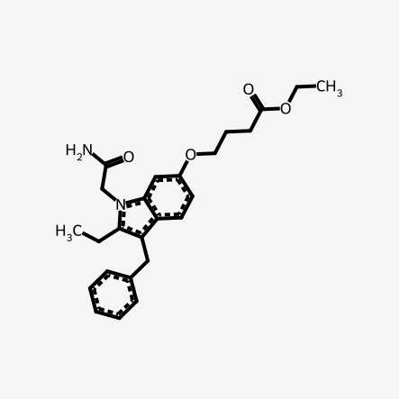 CCOC(=O)CCCOc1ccc2c(Cc3ccccc3)c(CC)n(CC(N)=O)c2c1